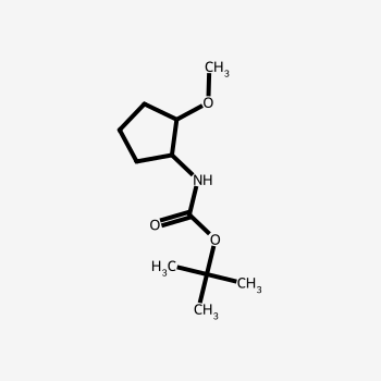 COC1CCCC1NC(=O)OC(C)(C)C